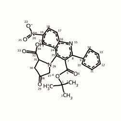 CC(C)(C)OC(=O)c1c(-c2ccccc2)nc2ccc([N+](=O)[O-])cc2c1N1CC(=O)CC1C(=O)O